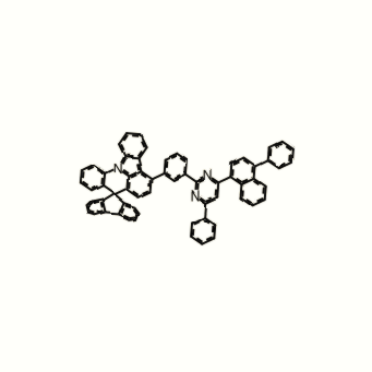 c1ccc(-c2cc(-c3ccc(-c4ccccc4)c4ccccc34)nc(-c3cccc(-c4ccc5c6c4c4ccccc4n6-c4ccccc4C54c5ccccc5-c5ccccc54)c3)n2)cc1